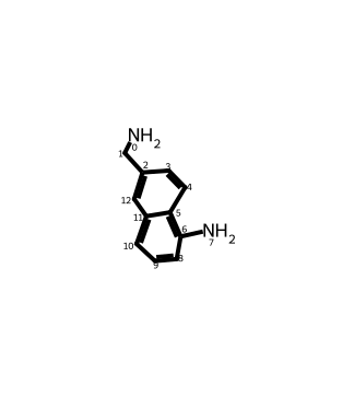 NCc1ccc2c(N)cccc2c1